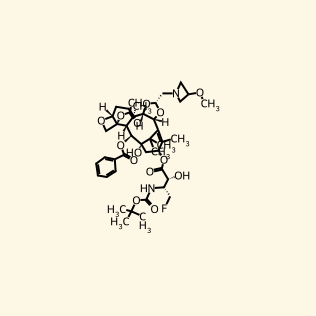 COC1CN(C[C@@H]2O[C@@H]3C4=C(C)[C@@H](OC(=O)[C@H](O)[C@H](CF)NC(=O)OC(C)(C)C)C[C@@](O)([C@@H](OC(=O)c5ccccc5)[C@H]5[C@@](C)(CC[C@H]6OC[C@]65OC(C)=O)[C@@H]3O2)C4(C)C)C1